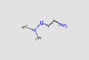 CCCN(CCC)NCCN